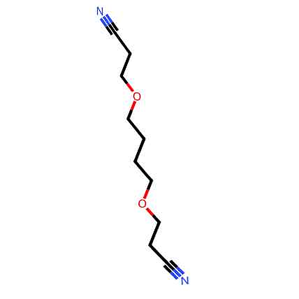 N#CCCOCCCCOCCC#N